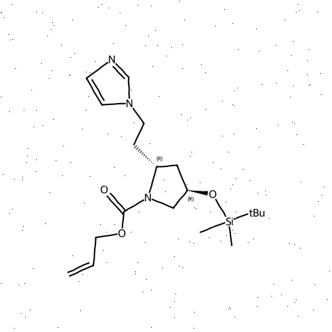 C=CCOC(=O)N1C[C@H](O[Si](C)(C)C(C)(C)C)C[C@H]1CCn1ccnc1